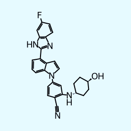 N#Cc1ccc(-n2ccc3c(-c4nc5ccc(F)cc5[nH]4)cccc32)cc1N[C@H]1CC[C@H](O)CC1